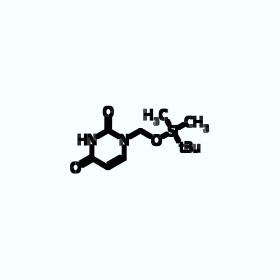 CC(C)(C)[Si](C)(C)OCn1ccc(=O)[nH]c1=O